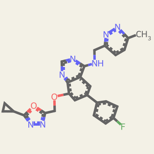 Cc1ccc(CNc2ncnc3c(OCc4nnc(C5CC5)o4)cc(-c4ccc(F)cc4)cc23)nn1